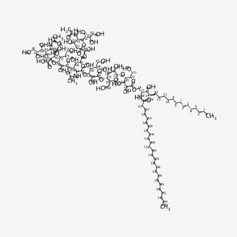 CCCCCCCCCCCCC/C=C/[C@@H](O)[C@H](CO[C@@H]1OC(CO)[C@@H](O[C@@H]2OC(CO)[C@H](O[C@@H]3OC(CO)[C@H](O)[C@H](O[C@@H]4OC(CO[C@]5(C(=O)O)CC(O)[C@@H](NC(C)=O)C([C@H](O)[C@H](O)CO)O5)[C@H](O)[C@H](O[C@@H]5OC(CO)[C@H](O)[C@H](O[C@]6(C(=O)O)CC(O)[C@@H](NC(C)=O)C([C@H](O)[C@H](O)CO)O6)C5O)C4NC(C)=O)C3O)[C@H](O)C2O)[C@H](O)C1O)NC(=O)CCCCCCCCCCCCCCCCCCCCCCCCC